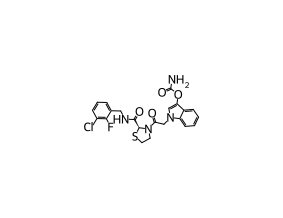 NC(=O)Oc1cn(CC(=O)N2CCS[C@H]2C(=O)NCc2cccc(Cl)c2F)c2ccccc12